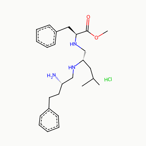 COC(=O)[C@H](Cc1ccccc1)NC[C@H](CC(C)C)NC[C@@H](N)CCc1ccccc1.Cl